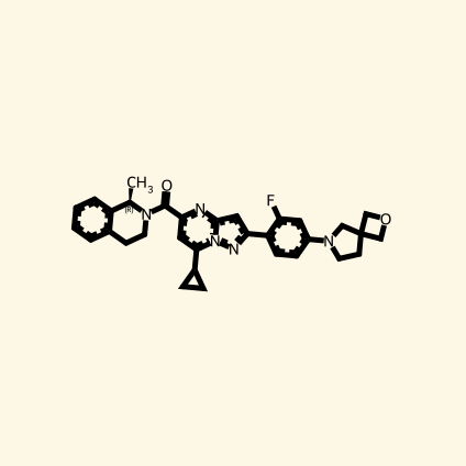 C[C@@H]1c2ccccc2CCN1C(=O)c1cc(C2CC2)n2nc(-c3ccc(N4CCC5(COC5)C4)cc3F)cc2n1